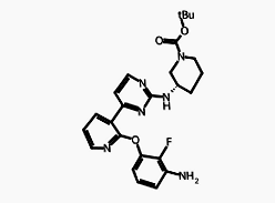 CC(C)(C)OC(=O)N1CCC[C@H](Nc2nccc(-c3cccnc3Oc3cccc(N)c3F)n2)C1